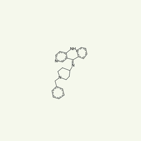 Nc1ccncc1/C(=N\C1CCN(Cc2ccccc2)CC1)c1ccccc1